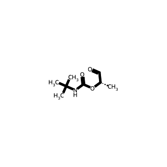 C[C@@H](C=O)OC(=O)NC(C)(C)C